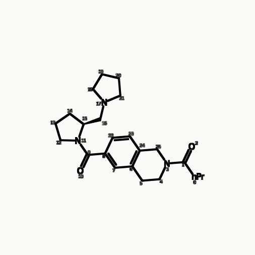 CCCC(=O)N1CCc2cc(C(=O)N3CCC[C@H]3CN3CCCC3)ccc2C1